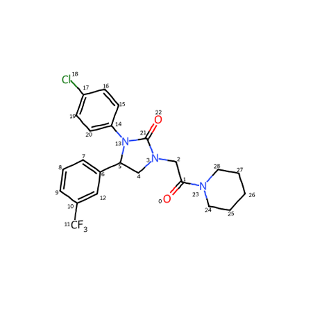 O=C(CN1CC(c2cccc(C(F)(F)F)c2)N(c2ccc(Cl)cc2)C1=O)N1CCCCC1